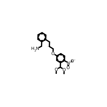 COC(OC)c1cc(OC[CH]Cc2ccccc2CN)ccc1[N+](=O)[O-]